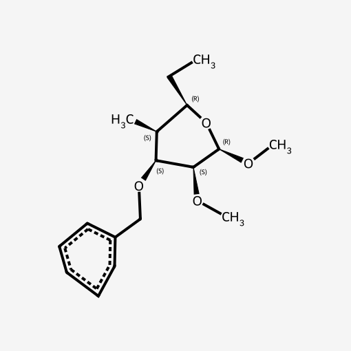 CC[C@H]1O[C@@H](OC)[C@@H](OC)[C@@H](OCc2ccccc2)[C@H]1C